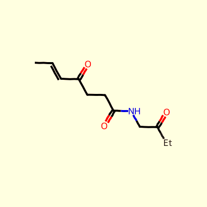 C/C=C/C(=O)CCC(=O)NCC(=O)CC